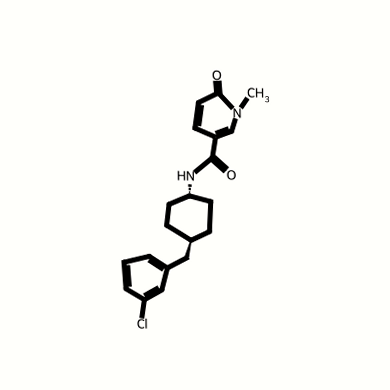 Cn1cc(C(=O)N[C@H]2CC[C@H](Cc3cccc(Cl)c3)CC2)ccc1=O